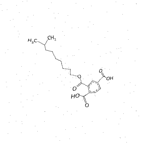 CC(C)CCCCCCCOC(=O)c1cc(C(=O)O)ccc1C(=O)O